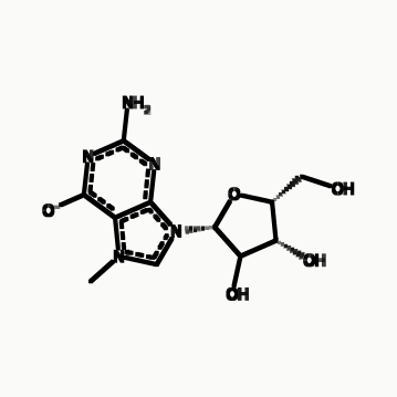 C[n+]1cn([C@@H]2O[C@H](CO)[C@H](O)C2O)c2nc(N)nc([O-])c21